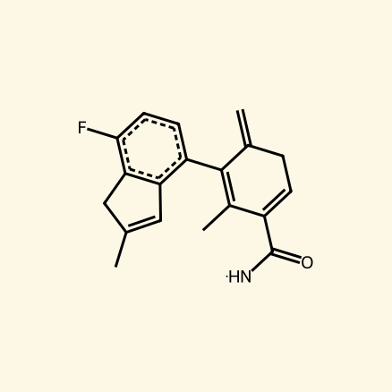 C=C1CC=C(C([NH])=O)C(C)=C1c1ccc(F)c2c1C=C(C)C2